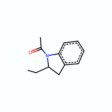 CCC1Cc2ccccc2N1C(C)=O